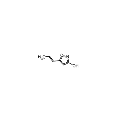 C/C=C/c1cc(O)no1